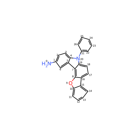 Nc1ccc2c(c1)c1c3oc4ccccc4c3ccc1n2-c1ccccc1